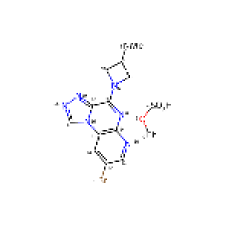 CCOS(=O)(=O)O.CNC1CN(c2nc3ncc(Br)cc3n3cnnc23)C1